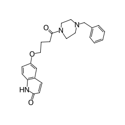 O=C(CCCOc1ccc2[nH]c(=O)ccc2c1)N1CCN(Cc2ccccc2)CC1